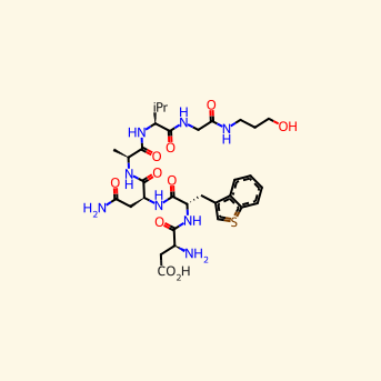 CC(C)[C@H](NC(=O)[C@H](C)NC(=O)[C@H](CC(N)=O)NC(=O)[C@H](Cc1csc2ccccc12)NC(=O)[C@@H](N)CC(=O)O)C(=O)NCC(=O)NCCCO